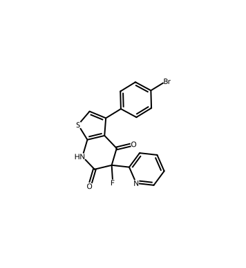 O=C1Nc2scc(-c3ccc(Br)cc3)c2C(=O)C1(F)c1ccccn1